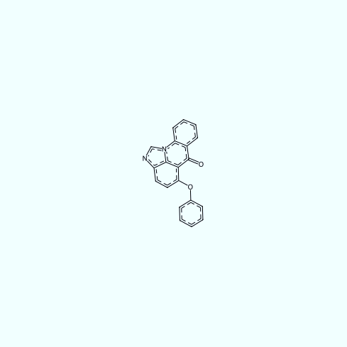 O=c1c2ccccc2n2cnc3ccc(Oc4ccccc4)c1c32